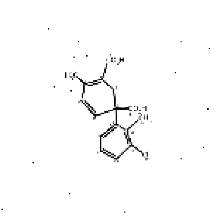 CC1=C(C(=O)O)CC(C(=O)O)(c2cccc(Cl)c2C)C=C1